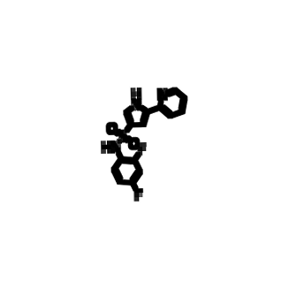 O=S(=O)(Nc1ccc(F)cc1F)c1c[nH]c(-c2ccccn2)c1